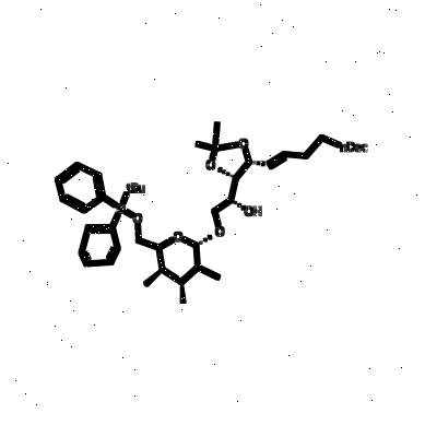 CCCCCCCCCCCCC=C[C@H]1OC(C)(C)O[C@H]1[C@H](O)CO[C@H]1OC(CO[Si](c2ccccc2)(c2ccccc2)C(C)(C)C)[C@H](C)[C@H](C)C1C